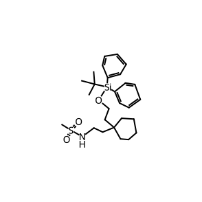 CC(C)(C)[Si](OCCC1(CCNS(C)(=O)=O)CCCCC1)(c1ccccc1)c1ccccc1